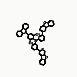 Cc1cc(-n2c3ccccc3c3ccccc32)cc(C)c1N(c1cccc(-c2cc3c(cn2)oc2ccccc23)c1)c1cccc(-c2cc3c(cn2)oc2ccccc23)c1